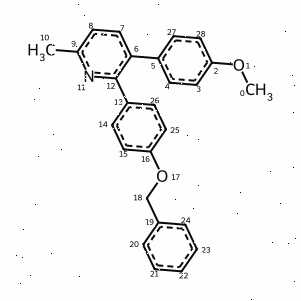 COc1ccc(-c2ccc(C)nc2-c2ccc(OCc3ccccc3)cc2)cc1